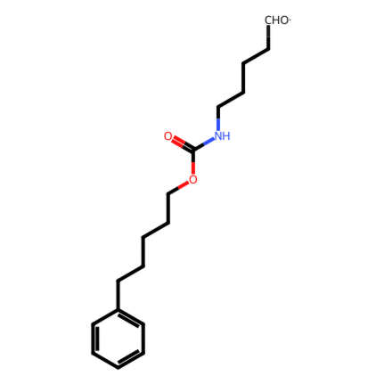 O=[C]CCCCNC(=O)OCCCCCc1ccccc1